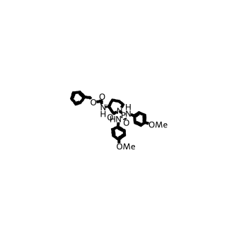 COc1ccc(NP(=O)(Nc2ccc(OC)cc2)N2CCC[C@H](NC(=O)OCc3ccccc3)C2=O)cc1